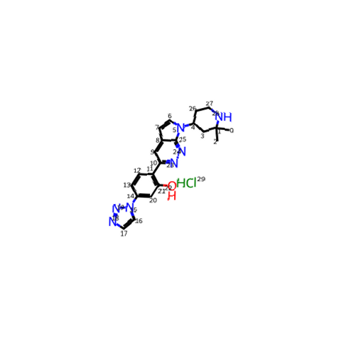 CC1(C)CC(n2ccc3cc(-c4ccc(-n5ccnn5)cc4O)nnc32)CCN1.Cl